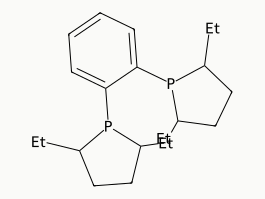 CCC1CCC(CC)P1c1ccccc1P1C(CC)CCC1CC